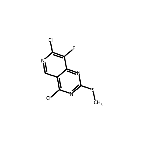 CSc1nc(Cl)c2cnc(Cl)c(F)c2n1